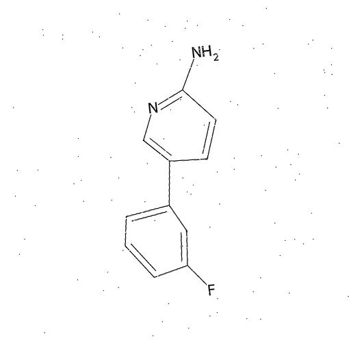 Nc1ccc(-c2cccc(F)c2)cn1